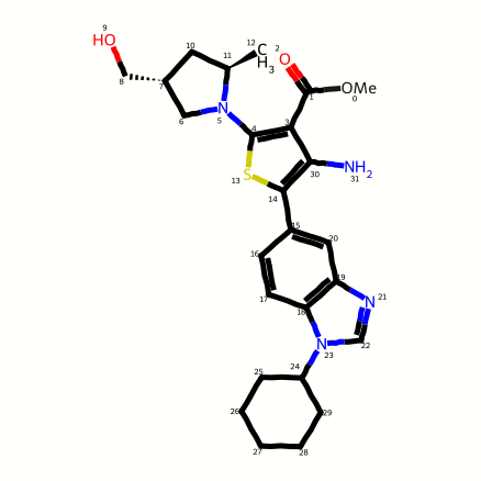 COC(=O)c1c(N2C[C@H](CO)C[C@H]2C)sc(-c2ccc3c(c2)ncn3C2CCCCC2)c1N